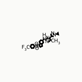 Cc1cnc(Nc2ccc3c(ccn3S(=O)(=O)c3ccc(C(F)(F)F)cc3)c2)nc1-c1cnn(C2CC2)c1